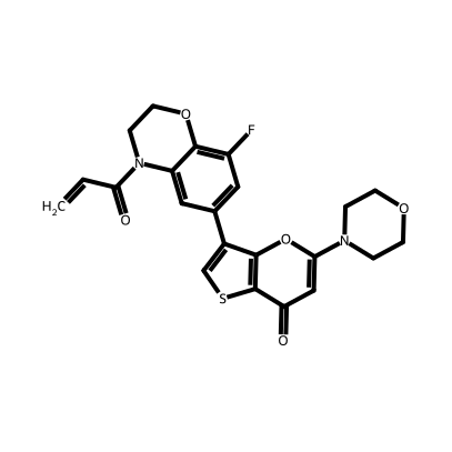 C=CC(=O)N1CCOc2c(F)cc(-c3csc4c(=O)cc(N5CCOCC5)oc34)cc21